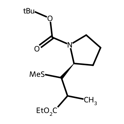 CCOC(=O)C(C)C(SC)[C@@H]1CCCN1C(=O)OC(C)(C)C